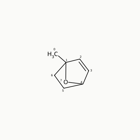 CC12C=CC(CC1)O2